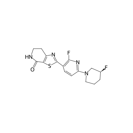 O=C1NCCc2nc(-c3ccc(N4CCC[C@H](F)C4)nc3F)sc21